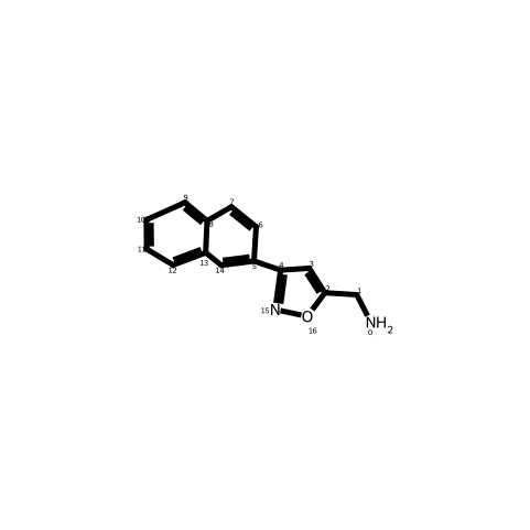 NCc1cc(-c2ccc3ccccc3c2)no1